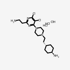 Cl.Cl.Cl.NCCc1nc(Cl)c(Cl)c(N2CCN(CC[C@H]3CC[C@H](N)CC3)CC2)n1